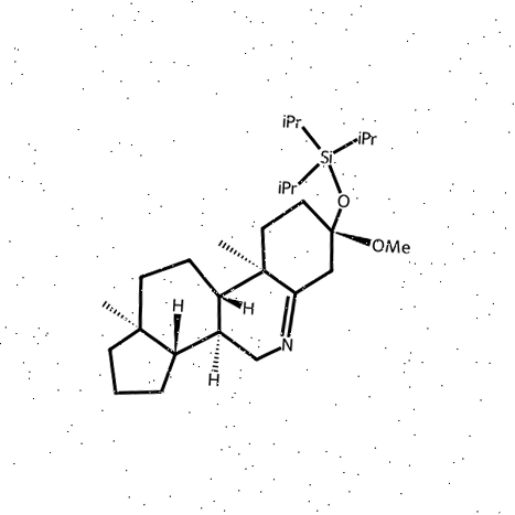 CO[C@]1(O[Si](C(C)C)(C(C)C)C(C)C)CC[C@@]2(C)C(=NC[C@H]3[C@@H]4CCC[C@@]4(C)CC[C@@H]32)C1